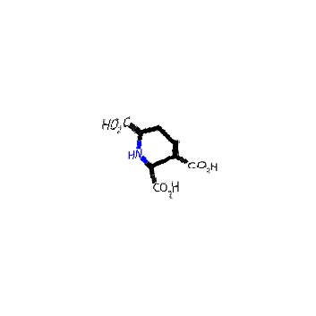 O=C(O)C1CCC(C(=O)O)C(C(=O)O)N1